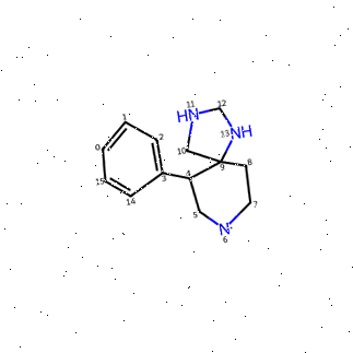 c1ccc(C2C[N]CCC23CNCN3)cc1